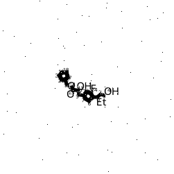 CCC(CCO)c1ccc(C[C@@H](O)C(=O)OCc2ccccc2)cc1F